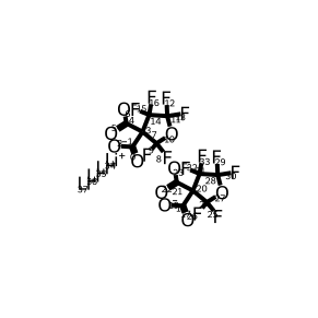 O=C([O-])C1(C(=O)[O-])C(F)(F)OC(F)(F)C1(F)F.O=C([O-])C1(C(=O)[O-])C(F)(F)OC(F)(F)C1(F)F.[Li+].[Li+].[Li+].[Li+]